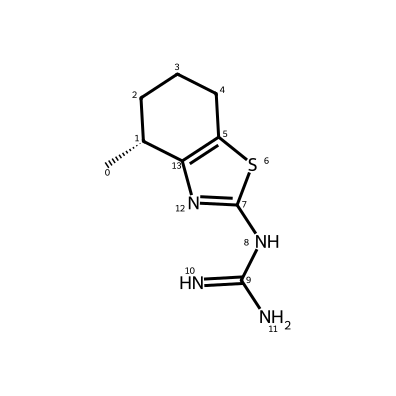 C[C@@H]1CCCc2sc(NC(=N)N)nc21